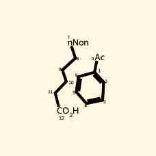 CC(=O)c1ccccc1.CCCCCCCCCCCCCC(=O)O